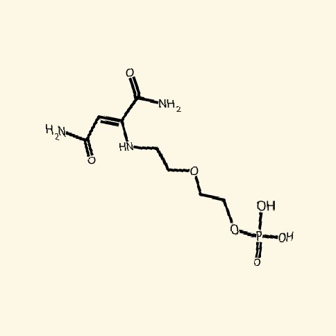 NC(=O)/C=C(\NCCOCCOP(=O)(O)O)C(N)=O